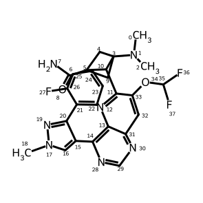 CN(C)C12CC(C(N)=O)(C1)C2c1nc2c(-c3cn(C)nc3-c3ccccc3F)ncnc2cc1OC(F)F